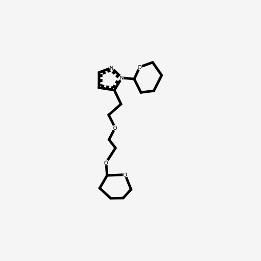 c1cc(CCOCCOC2CCCCO2)n(C2CCCCO2)n1